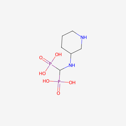 O=P(O)(O)C(NC1CCCNC1)P(=O)(O)O